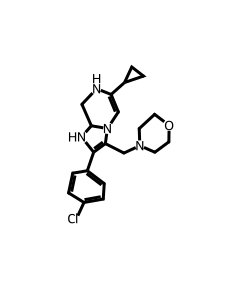 Clc1ccc(C2=C(CN3CCOCC3)N3C=C(C4CC4)NCC3N2)cc1